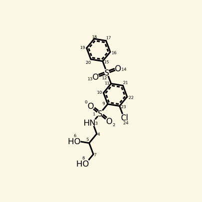 O=S(=O)(NCC(O)CO)c1cc(S(=O)(=O)c2ccccc2)ccc1Cl